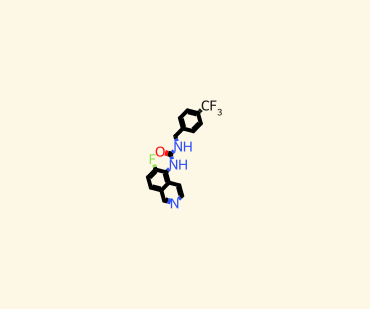 O=C(NCc1ccc(C(F)(F)F)cc1)Nc1c(F)ccc2cnccc12